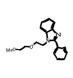 COCCOCCn1c(-c2ccccc2)nc2ccccc21